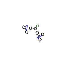 Clc1cc(-c2ccc(-c3nc4ccccc4n3-c3ccccc3)cc2)cc(-c2ccc(-c3nc4ccccc4n3-c3ccccc3)cc2)c1